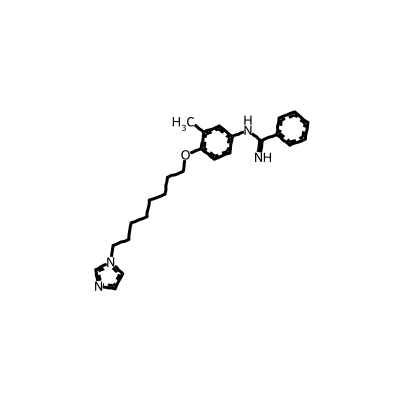 Cc1cc(NC(=N)c2ccccc2)ccc1OCCCCCCCCn1ccnc1